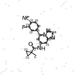 CC1(C(=O)Nc2cc(-c3ccc(C#N)c(F)c3)n3ncnc3c2)CC1